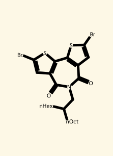 CCCCCCCCC(CCCCCC)Cn1c(=O)c2cc(Br)sc2c2sc(Br)cc2c1=O